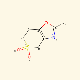 Cc1nc2c(o1)CCS(=O)(=O)C2